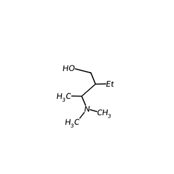 CCC(CO)C(C)N(C)C